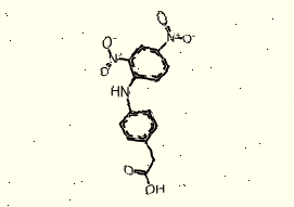 O=C(O)Cc1ccc(Nc2ccc([N+](=O)[O-])cc2[N+](=O)[O-])cc1